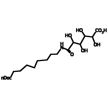 CCCCCCCCCCCCCCCCCCNC(=O)C(O)C(O)C(O)C(O)C(=O)O